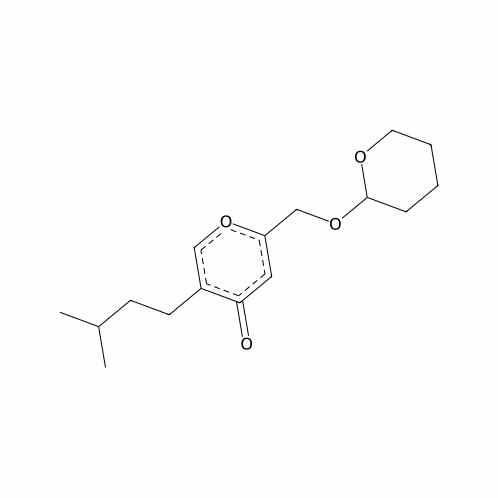 CC(C)CCc1coc(COC2CCCCO2)cc1=O